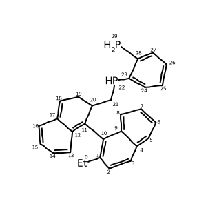 CCc1ccc2ccccc2c1C1=c2ccccc2=CCC1CPc1ccccc1P